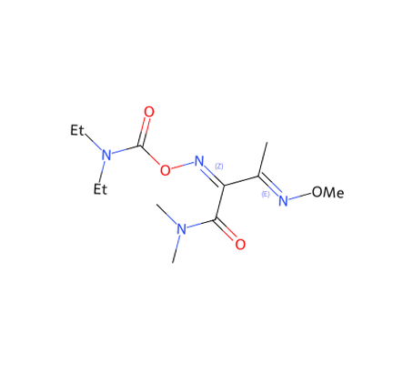 CCN(CC)C(=O)O/N=C(C(=O)N(C)C)/C(C)=N/OC